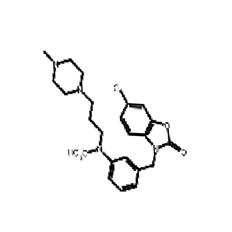 CN1CCN(CCCN(C(=O)O)c2cccc(Cn3c(=O)oc4cc(Cl)ccc43)c2)CC1